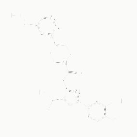 COc1cnnc(N2CCN(C(=O)Cn3nc(-c4ccc(F)c(C)c4)cc3C(C)C)CC2)c1